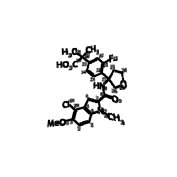 COc1ccc2c(cc(C(=O)NC3(c4ccc(C(C)(C)C(=O)O)cc4F)CCOC3)n2C)c1Cl